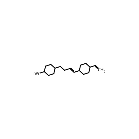 C=CC1CCC(C=CCCC2CCC(CCC)CC2)CC1